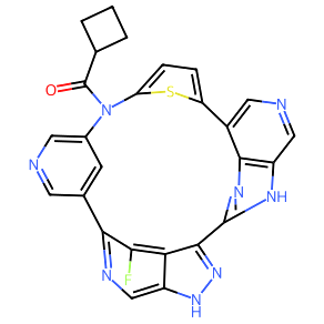 O=C(C1CCC1)n1c2cncc(c2)c2ncc3[nH]nc(c4nc5c(cncc5c5ccc1s5)[nH]4)c3c2F